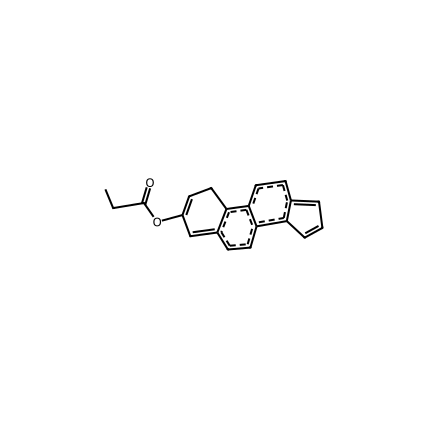 CCC(=O)OC1=CCc2c(ccc3c4c(ccc23)=CC=C4)=C1